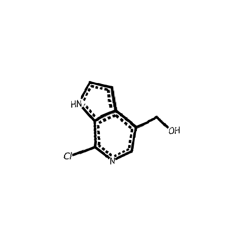 OCc1cnc(Cl)c2[nH]ccc12